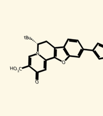 CC(C)(C)[C@@H]1Cc2c(oc3cc(-c4ccoc4)ccc23)-c2cc(=O)c(C(=O)O)cn21